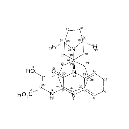 O=C(O)[C@H](CO)Nc1nc2ccccc2n([C@H]2C[C@H]3CC[C@@H](C2)N3C2CCCCCCC2)c1=O